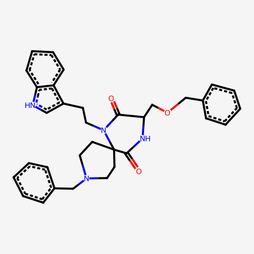 O=C1C(COCc2ccccc2)NC(=O)C2(CCN(Cc3ccccc3)CC2)N1CCc1c[nH]c2ccccc12